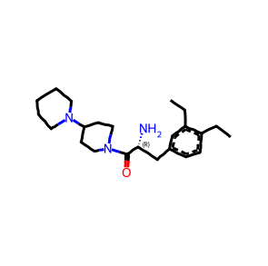 CCc1ccc(C[C@@H](N)C(=O)N2CCC(N3CCCCC3)CC2)cc1CC